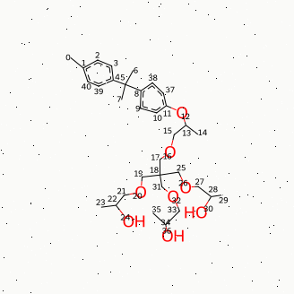 Cc1ccc(C(C)(C)c2ccc(OC(C)COCC(COCC(C)O)(COCC(C)O)COCC(C)O)cc2)cc1